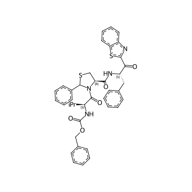 CC(C)[C@H](NC(=O)OCc1ccccc1)C(=O)N1C(c2ccccc2)SC[C@H]1C(=O)N[C@@H](Cc1ccccc1)C(=O)c1nc2ccccc2s1